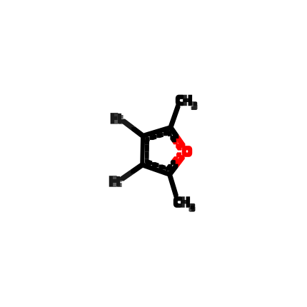 CCc1c(C)oc(C)c1CC